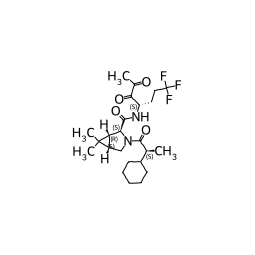 CC(=O)C(=O)[C@H](CCC(F)(F)F)NC(=O)[C@@H]1[C@@H]2[C@H](CN1C(=O)[C@@H](C)C1CCCCC1)C2(C)C